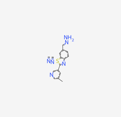 C#N.C#N.Cc1cncc(-c2nc3ccc(C=NN)cc3s2)c1